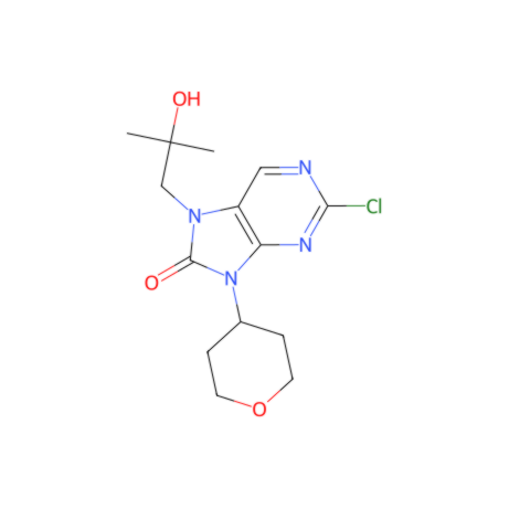 CC(C)(O)Cn1c(=O)n(C2CCOCC2)c2nc(Cl)ncc21